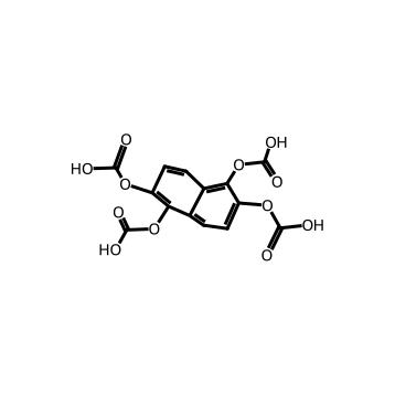 O=C(O)Oc1ccc2c(OC(=O)O)c(OC(=O)O)ccc2c1OC(=O)O